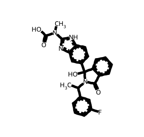 CC(c1cccc(F)c1)N1C(=O)c2ccccc2C1(O)c1ccc2[nH]c(N(C)C(=O)O)nc2c1